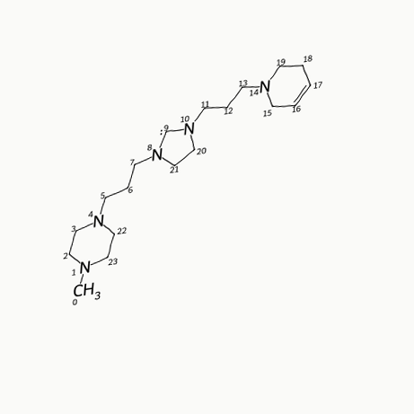 CN1CCN(CCCN2[C]N(CCCN3CC=CCC3)CC2)CC1